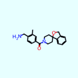 Cc1cc(C(=O)N2CCC3(CC2)OCc2ccccc23)ccc1CN